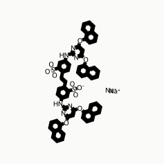 O=S(=O)([O-])c1cc(Nc2nc(Oc3cccc4ccccc34)cc(Oc3cccc4ccccc34)n2)ccc1C=Cc1ccc(Nc2nc(Oc3cccc4ccccc34)cc(Oc3cccc4ccccc34)n2)cc1S(=O)(=O)[O-].[Na+].[Na+]